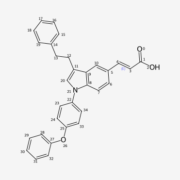 O=C(O)/C=C/c1ccc2c(c1)c(CCc1ccccc1)cn2-c1ccc(Oc2ccccc2)cc1